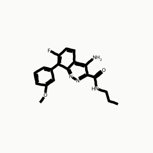 CCCNC(=O)c1nnc2c(-c3cccc(OC)c3)c(F)ccc2c1N